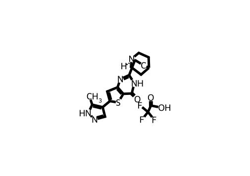 Cc1[nH]ncc1-c1cc2nc([C@@H]3CC4CCN3CC4)[nH]c(=O)c2s1.O=C(O)C(F)(F)F